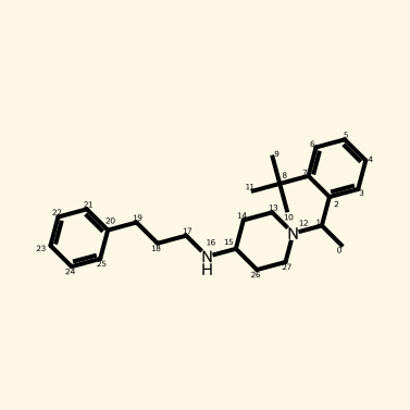 CC(c1ccccc1C(C)(C)C)N1CCC(NCCCc2ccccc2)CC1